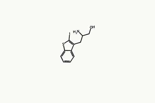 NC(CO)Cc1c(I)sc2ccccc12